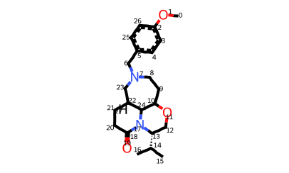 COc1ccc(CN2CCC3OC[C@H](C(C)C)N4C(=O)CC[C@H](C2)C34)cc1